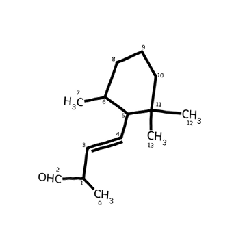 CC(C=O)C=CC1C(C)CCCC1(C)C